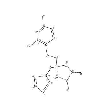 Cc1ccc(CCC2(Cn3ccnc3)OC(C)C(C)O2)c(C)c1